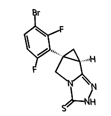 Fc1ccc(Br)c(F)c1[C@]12C[C@H]1c1n[nH]c(=S)n1C2